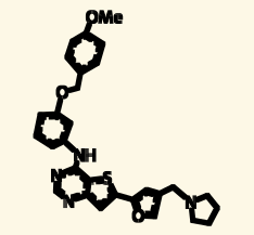 COc1ccc(COc2cccc(Nc3ncnc4cc(-c5cc(CN6CCCC6)co5)sc34)c2)cc1